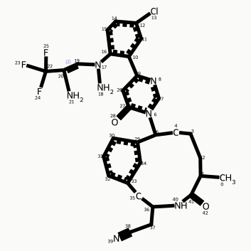 CC1CCCC(n2cnc(-c3cc(Cl)ccc3N(N)/C=C(\N)C(F)(F)F)cc2=O)c2cccc(c2)CC(CC#N)NC1=O